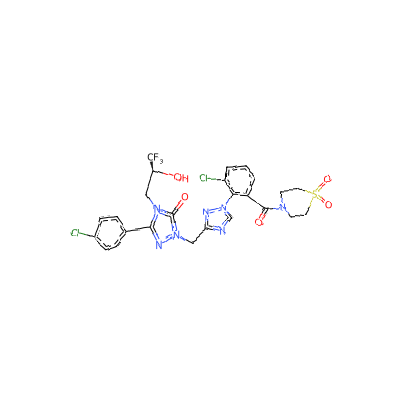 O=C(c1cccc(Cl)c1-n1cnc(Cn2nc(-c3ccc(Cl)cc3)n(C[C@H](O)C(F)(F)F)c2=O)n1)N1CCS(=O)(=O)CC1